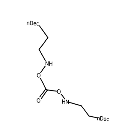 CCCCCCCCCCCCNOC(=O)ONCCCCCCCCCCCC